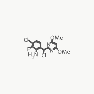 COc1cc(OC)nc(C(Cl)c2ccc(Cl)c(F)c2N)n1